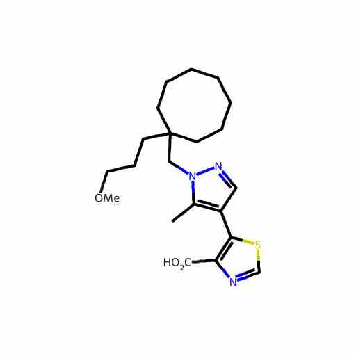 COCCCC1(Cn2ncc(-c3scnc3C(=O)O)c2C)CCCCCCC1